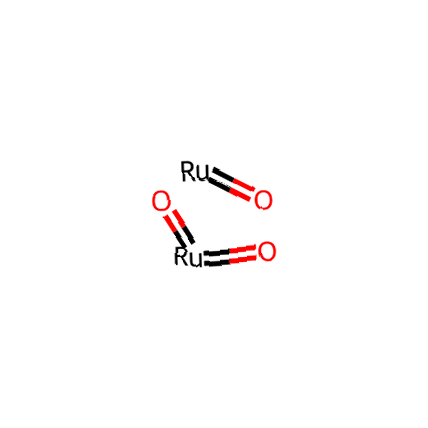 [O]=[Ru].[O]=[Ru]=[O]